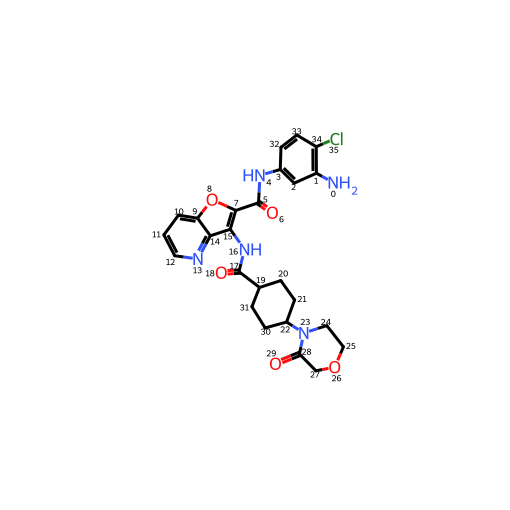 Nc1cc(NC(=O)c2oc3cccnc3c2NC(=O)C2CCC(N3CCOCC3=O)CC2)ccc1Cl